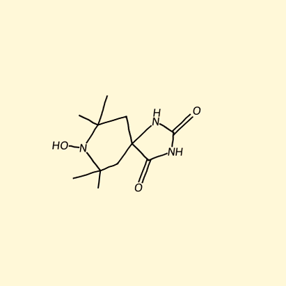 CC1(C)CC2(CC(C)(C)N1O)NC(=O)NC2=O